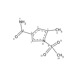 Cc1cc(C(N)=O)cn1S(C)(=O)=O